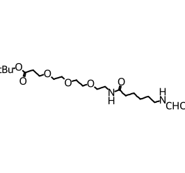 CC(C)(C)OC(=O)CCOCCOCCOCCNC(=O)CCCCCNC=O